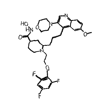 COc1ccc2ncc(N3CCOCC3)c(CCCC3CC(C(=O)NO)CCN3CCOc3c(F)cc(F)cc3F)c2c1